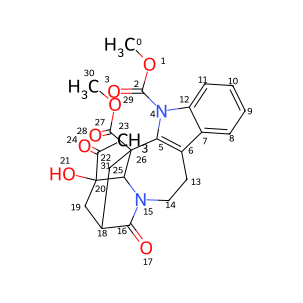 COC(=O)n1c2c(c3ccccc31)CCN1C(=O)C3CC(O)(C(C)=O)C1C2(C(=O)OC)C3